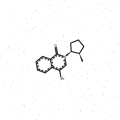 CC(C)c1cn([C@H]2CCC[C@H]2C)c(=O)c2ccccc12